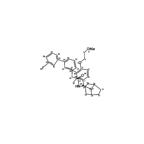 COCCOc1ccc(CN2C3CCC2CC(NC(=O)Cc2cccc(-c4cccc(I)c4)c2)C3)c(C)c1C